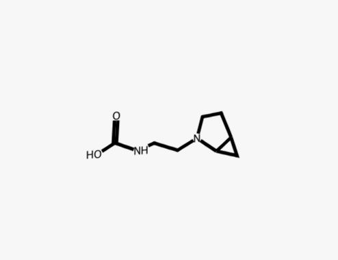 O=C(O)NCCN1CCC2CC21